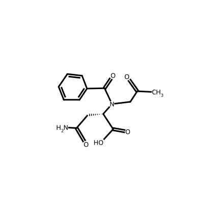 CC(=O)CN(C(=O)c1ccccc1)[C@@H](CC(N)=O)C(=O)O